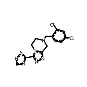 Clc1ccc(CN2CCn3c(nnc3-c3ncns3)C2)c(Cl)c1